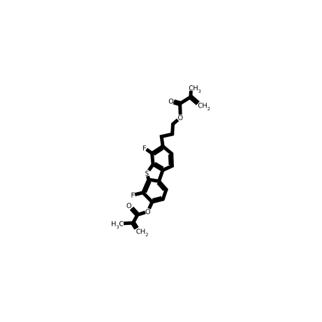 C=C(C)C(=O)OCCCc1ccc2c(sc3c(F)c(OC(=O)C(=C)C)ccc32)c1F